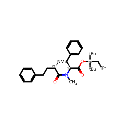 CN[C@@H](CCc1ccccc1)C(=O)N(C)[C@@H](Cc1ccccc1)C(=O)O[Si](CC(C)C)(C(C)(C)C)C(C)(C)C